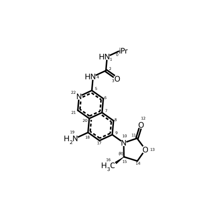 CC(C)NC(=O)Nc1cc2cc(N3C(=O)OC[C@H]3C)cc(N)c2cn1